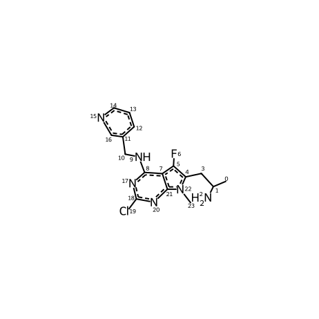 CC(N)Cc1c(F)c2c(NCc3cccnc3)nc(Cl)nc2n1C